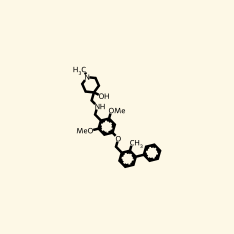 COc1cc(OCc2cccc(-c3ccccc3)c2C)cc(OC)c1CNCC1(O)CCN(C)CC1